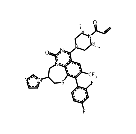 C=CC(=O)N1[C@H](C)CN(c2nc(=O)n3c4c(c(-c5ccc(F)cc5F)c(C(F)(F)F)cc24)SCC(n2ccnc2)C3)C[C@@H]1C